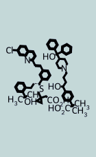 CC(C)(C(=O)O)c1ccc(C(O)CCCN2CCC(C(O)(c3ccccc3)c3ccccc3)CC2)cc1.CC(C)(O)c1ccccc1CC[C@@H](SCC1(CC(=O)O)CC1)c1cccc(/C=C/c2ccc3ccc(Cl)cc3n2)c1